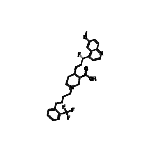 COc1ccc2nccc([C@@H](F)CC[C@@H]3CCN(CCCCc4ccccc4C(F)(F)F)C[C@@H]3C(=O)O)c2c1